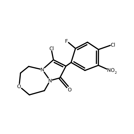 O=c1c(-c2cc([N+](=O)[O-])c(Cl)cc2F)c(Cl)n2n1CCOCC2